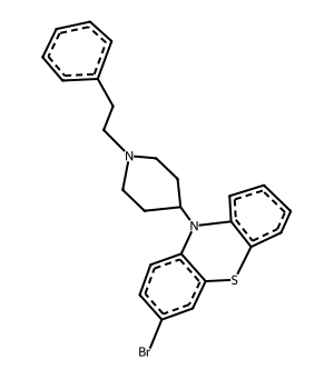 Brc1ccc2c(c1)Sc1ccccc1N2C1CCN(CCc2ccccc2)CC1